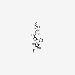 CSCC[C@H](NC(=O)c1ccc(N[S+]([O-])CN[C@H]2CCC(=O)N2)cc1-c1ccccc1)C(=O)O